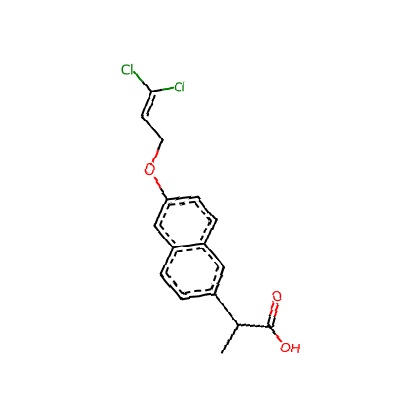 CC(C(=O)O)c1ccc2cc(OCC=C(Cl)Cl)ccc2c1